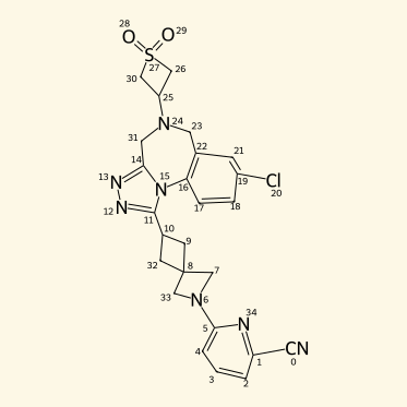 N#Cc1cccc(N2CC3(CC(c4nnc5n4-c4ccc(Cl)cc4CN(C4CS(=O)(=O)C4)C5)C3)C2)n1